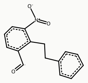 O=[C]c1cccc([N+](=O)[O-])c1CCc1ccccc1